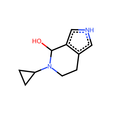 OC1c2c[nH]cc2CCN1C1CC1